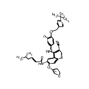 CN(C)CC=CC(=O)Nc1cc2c(Nc3ccc(OCc4ccc(C(C)(C)C)cc4)c(Cl)c3)c(C#N)cnc2cc1O[C@H]1CCOC1